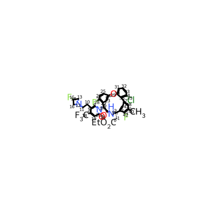 CCOC(=O)C[C@@H]1NC(=O)[C@H](n2cc(CCN3CC(F)C3)c(C(F)(F)F)cc2=O)c2cc(ccc2F)Oc2cccc(Cl)c2-c2cc(C)c(F)c1c2